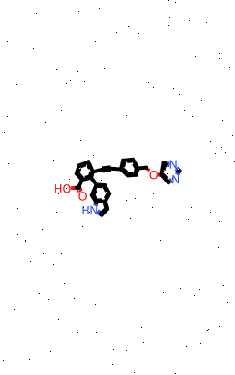 O=C(O)c1cccc(C#Cc2ccc(COc3cncnc3)cc2)c1-c1ccc2cc[nH]c2c1